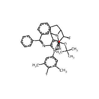 Cc1cc(-n2nc3c(c2N=C(c2ccccc2)c2ccccc2)C2CCC(C3F)N2C(=O)OC(C)(C)C)cc(C)c1F